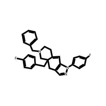 Fc1ccc(CC23Cc4cnn(-c5ccc(F)cc5)c4C=C2CCN(Cc2ccccc2)C3)cc1